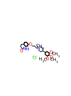 COc1cc(C2CC[N+](C)(CCCOc3ccc4c(c3)NC(=O)CC4)CC2)cc(OC)c1OC.[Cl-]